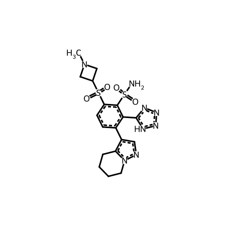 CN1CC(S(=O)(=O)c2ccc(-c3cnn4c3CCCC4)c(-c3nnn[nH]3)c2S(N)(=O)=O)C1